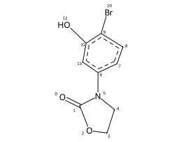 O=C1OCCN1c1ccc(Br)c(O)c1